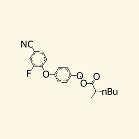 CCCCC(C)C(=O)OOc1ccc(Oc2ccc(C#N)cc2F)cc1